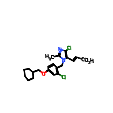 Cc1nc(Cl)c(C=CC(=O)O)n1Cc1ccc(OCC2CCCCC2)cc1Cl